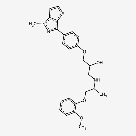 COc1ccccc1OCC(C)NCC(O)COc1ccc(-c2nn(C)c3ccsc23)cc1